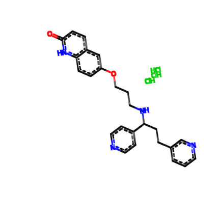 Cl.Cl.Cl.O=c1ccc2cc(OCCCNC(CCc3cccnc3)c3ccncc3)ccc2[nH]1